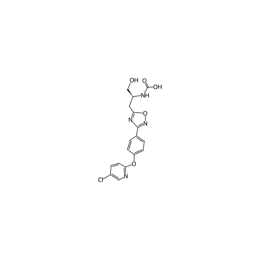 O=C(O)N[C@H](CO)Cc1nc(-c2ccc(Oc3ccc(Cl)cn3)cc2)no1